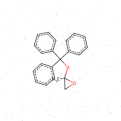 CC1(OC(c2ccccc2)(c2ccccc2)c2ccccc2)CO1